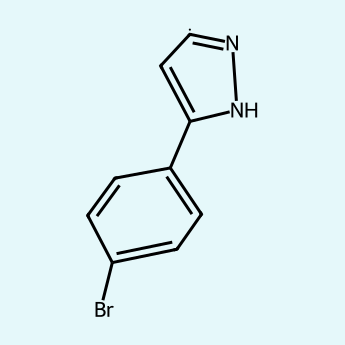 Brc1ccc(-c2c[c]n[nH]2)cc1